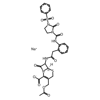 CC(=O)OCC1=C(C(=O)[O-])N2C(=O)C(NC(=O)Cc3ccccc3NC(=O)N3CCN(S(=O)(=O)c4ccccc4)C3=O)[C@H]2SC1.[Na+]